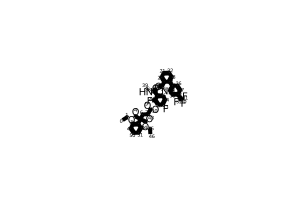 CCOC(=O)C(CCC(=O)Oc1c(F)cc(NC(=O)c2ccccc2-c2ccc(C(F)(F)F)cc2)c(C(=O)NC)c1F)(C(=O)OCC)c1ccccc1